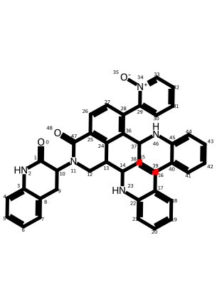 O=C1Nc2ccccc2CC1N1[C]C(C2C=Cc3ccccc3N2)c2c(ccc(-c3cccc[n+]3[O-])c2C2CCc3ccccc3N2)C1=O